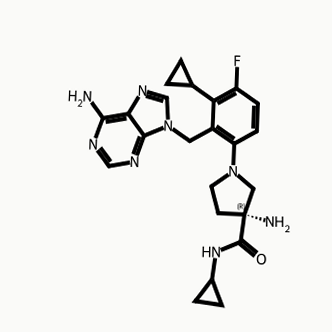 Nc1ncnc2c1ncn2Cc1c(N2CC[C@](N)(C(=O)NC3CC3)C2)ccc(F)c1C1CC1